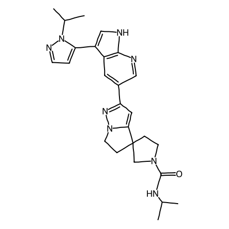 CC(C)NC(=O)N1CCC2(CCn3nc(-c4cnc5[nH]cc(-c6ccnn6C(C)C)c5c4)cc32)C1